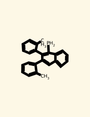 Cc1ccccc1-c1cc2ccccc2c(P)c1-c1ccccc1C